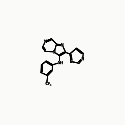 FC(F)(F)c1cccc(Nc2c(-c3ccncn3)nc3cnccn23)c1